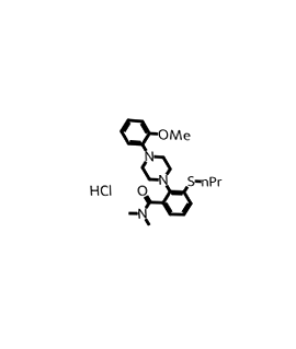 CCCSc1cccc(C(=O)N(C)C)c1N1CCN(c2ccccc2OC)CC1.Cl